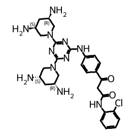 N[C@@H]1C[C@H](N)CN(c2nc(Nc3ccc(C(=O)CC(=O)Nc4ccccc4Cl)cc3)nc(N3C[C@H](N)C[C@H](N)C3)n2)C1